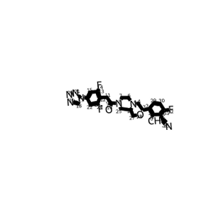 Cc1c(C2CN3CCN(C(=O)Cc4c(F)cc(-n5cnnn5)cc4F)CC3CO2)ccc(F)c1C#N